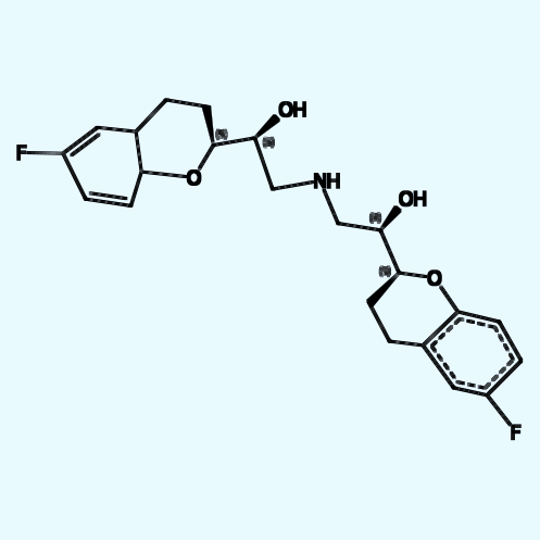 O[C@H](CNC[C@H](O)[C@@H]1CCC2C=C(F)C=CC2O1)[C@@H]1CCc2cc(F)ccc2O1